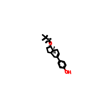 CC(C)(C)[Si](C)(C)O[C@H]1CCC2CC(c3ccc(O)cc3)=CC[C@@]21C